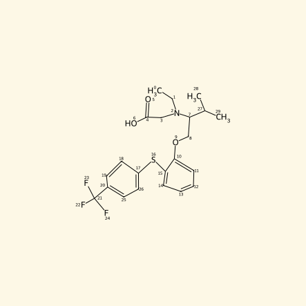 CCN(CC(=O)O)C(COc1ccccc1Sc1ccc(C(F)(F)F)cc1)C(C)C